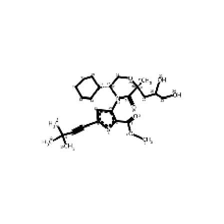 COC(=O)c1sc(C#CC(C)(C)C)cc1N1C(=O)[C@@](C)(CC(O)CO)OC[C@H]1C1CCCCC1